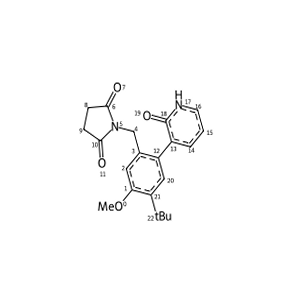 COc1cc(CN2C(=O)CCC2=O)c(-c2ccc[nH]c2=O)cc1C(C)(C)C